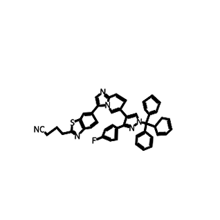 N#CCCCc1nc2ccc(-c3cnc4ccc(-c5cn(C(c6ccccc6)(c6ccccc6)C6C=CC=CC6)nc5-c5ccc(F)cc5)cn34)cc2s1